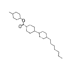 CCCCCCCC1CCC(C2CCC(C(=O)OC3CCC(C)CC3)CC2)CC1